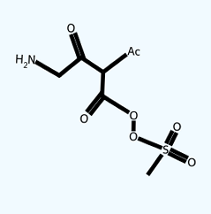 CC(=O)C(C(=O)CN)C(=O)OOS(C)(=O)=O